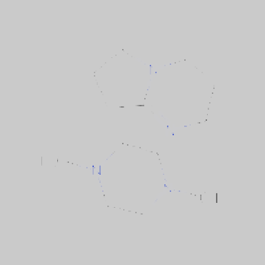 C1CN=C2CCCN2C1.CN1CCN(C)CC1